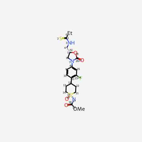 CCC(=S)NC[C@H]1CN(c2ccc(C3CCS(=O)(=NC(=O)OC)CC3)c(F)c2)C(=O)O1